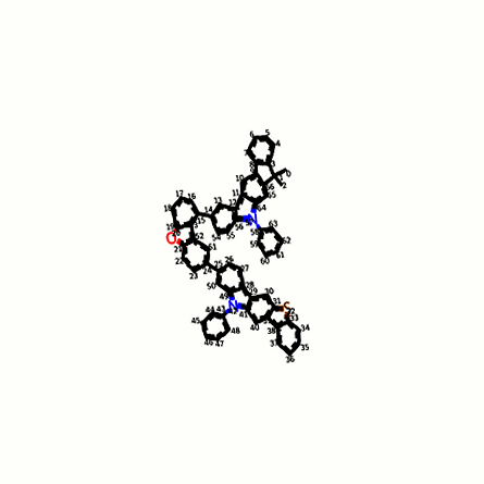 CC1(C)c2ccccc2-c2cc3c4cc(-c5cccc6oc7ccc(-c8ccc9c%10cc%11sc%12ccccc%12c%11cc%10n(-c%10ccccc%10)c9c8)cc7c56)ccc4n(-c4ccccc4)c3cc21